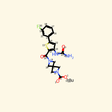 CC(C)(C)OC(=O)N1CC2(C1)CN(C(=O)c1sc(-c3cccc(F)c3)cc1NC(N)=O)C2